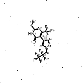 O=c1[nH]c(CBr)nc(C(F)(F)F)c1-c1cnn(CC(F)(F)C(F)(F)F)c1